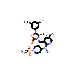 CCN(c1ncc(C(F)(F)F)cc1CN1C(=O)O[C@H](c2cc(C(F)(F)F)cc(C(F)(F)F)c2)[C@@H]1C)C1CCN(S(C)(=O)=O)CC1